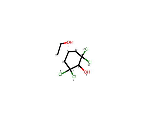 CCO.OC1C(Cl)(Cl)CCCC1(Cl)Cl